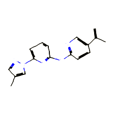 C=C(C)c1ccc(Nc2cccc(-n3cc(C)cn3)n2)nc1